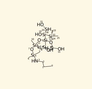 CCCN[Si](C)(C)O[Si](C)(C)O[Si](O[SiH2]O)([SiH2]O)[Si](O)([SiH2]O)[Si](C)(C)C